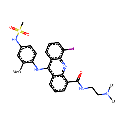 CCN(CC)CCNC(=O)c1cccc2c(Nc3ccc(NS(C)(=O)=O)cc3OC)c3cccc(I)c3nc12